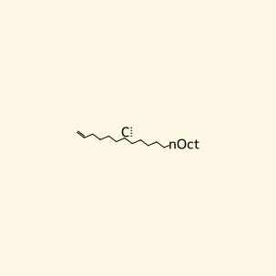 C=CCCCCCCCCCCCCCCCCCC.[C]